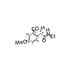 CCNC(=O)Cc1ccc(OC)cc1C(=O)O